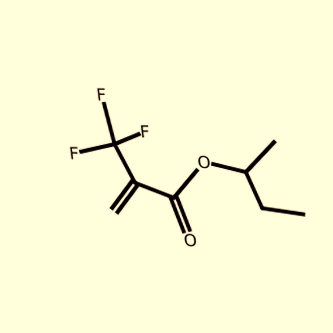 C=C(C(=O)OC(C)CC)C(F)(F)F